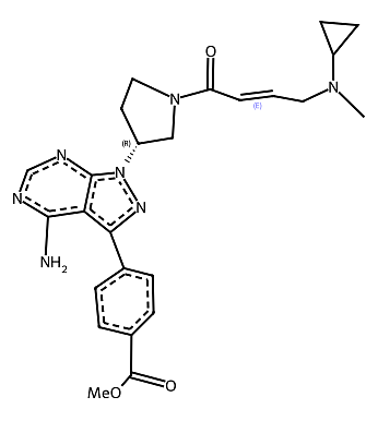 COC(=O)c1ccc(-c2nn([C@@H]3CCN(C(=O)/C=C/CN(C)C4CC4)C3)c3ncnc(N)c23)cc1